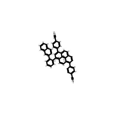 N#Cc1ccc(-c2ccc3ccc4c(-c5ccc(C#N)cc5)cc(-c5ccccc5-c5ccc6ccccc6c5)c5ccc2c3c45)cc1